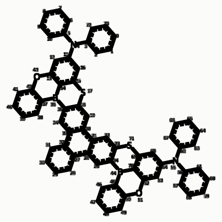 c1ccc(N(c2ccccc2)c2cc3c4c(c2)Sc2cc5c6cc7c(cc6c6ccccc6c5cc2B4c2ccccc2O3)B2c3ccccc3Oc3cc(N(c4ccccc4)c4ccccc4)cc(c32)S7)cc1